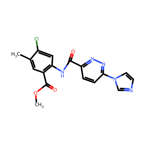 COC(=O)c1cc(C)c(Cl)cc1NC(=O)c1ccc(-n2ccnc2)nn1